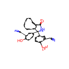 N#Cc1cc(C2(c3ccc(O)c(C#N)c3)NC(=O)c3ccccc32)ccc1O